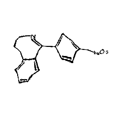 O=[N+]([O-])c1ccc(C2=NCCc3ccccc32)cc1